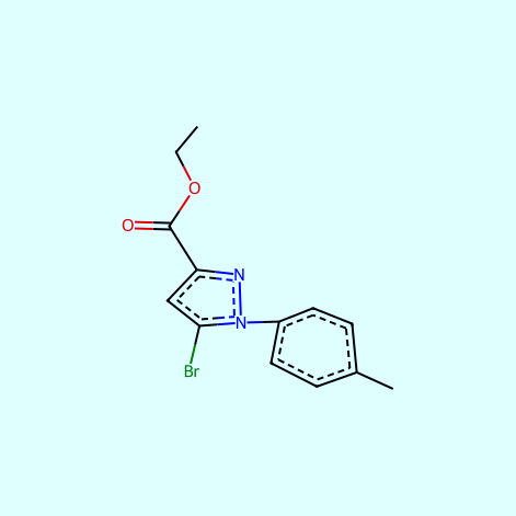 CCOC(=O)c1cc(Br)n(-c2ccc(C)cc2)n1